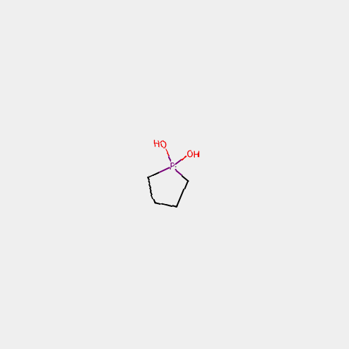 O[P]1(O)CCCC1